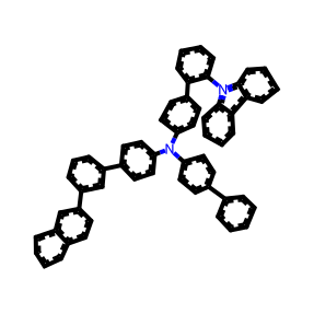 c1ccc(-c2ccc(N(c3ccc(-c4cccc(-c5ccc6ccccc6c5)c4)cc3)c3ccc(-c4ccccc4-n4c5ccccc5c5ccccc54)cc3)cc2)cc1